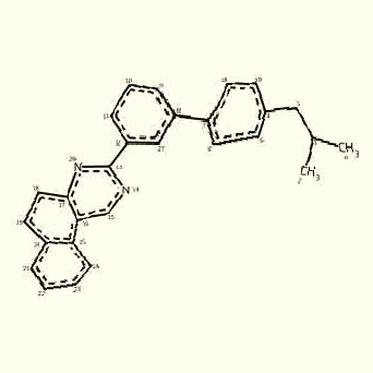 CC(C)Cc1ccc(-c2cccc(-c3ncc4c(ccc5ccccc54)n3)c2)cc1